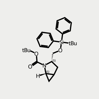 CC(C)(C)OC(=O)N1[C@H](CO[Si](c2ccccc2)(c2ccccc2)C(C)(C)C)CC2C[C@@H]21